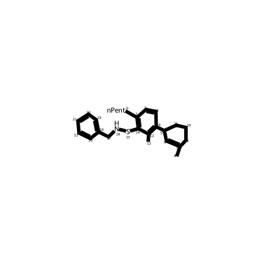 CCCCCc1ccc(C2C=C(C)CCC2)c(C)c1SNCc1ccccc1